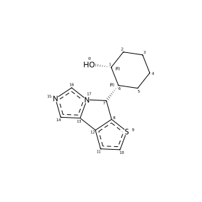 O[C@@H]1CCCC[C@@H]1C1c2sccc2-c2cncn21